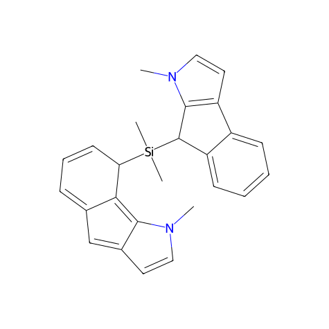 Cn1ccc2c1C([Si](C)(C)C1C=CC=C3C=c4ccn(C)c4=C31)c1ccccc1-2